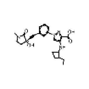 CCC1CCC1Nc1cn(-c2cccc(C#C[C@]3(O)CCN(C)C3=O)c2)nc1C(=O)O